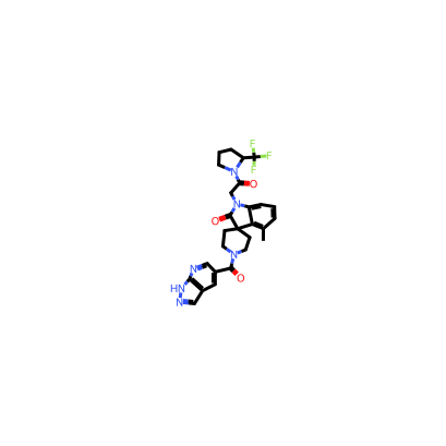 Cc1cccc2c1C1(CCN(C(=O)c3cnc4[nH]ncc4c3)CC1)C(=O)N2CC(=O)N1CCCC1C(F)(F)F